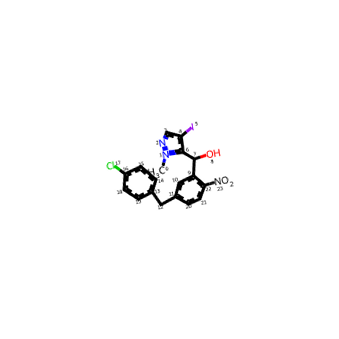 Cn1ncc(I)c1C(O)c1cc(Cc2ccc(Cl)cc2)ccc1[N+](=O)[O-]